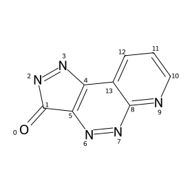 O=C1N=Nc2c1nnc1ncccc21